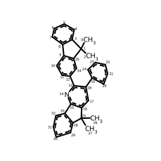 CC1(C)c2ccccc2-c2ccc(-c3nc4c(cc3-c3ccccc3)C(C)(C)c3ccccc3-4)cc21